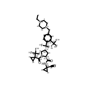 CCN1CCN(Cc2ccc(C(F)(F)[C@@H]3C[C@@H](C(=O)NC4(C#N)CC4)N(C(=O)C4(C(F)(F)F)CC4)C3)c(C(F)(F)F)c2)CC1